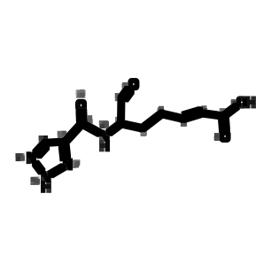 O=CC(CCC=CC(=O)O)NC(=O)c1cn[nH]n1